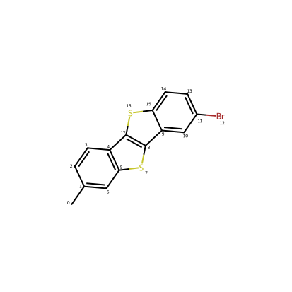 Cc1ccc2c(c1)sc1c3cc(Br)ccc3sc21